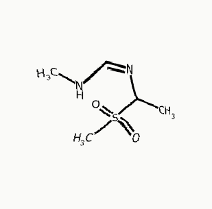 CN/C=N\C(C)S(C)(=O)=O